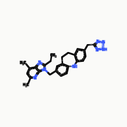 CCc1nc2c(C)cc(C)nc2n1Cc1ccc2c(c1)CCc1cc(Cc3nn[nH]n3)ccc1N2